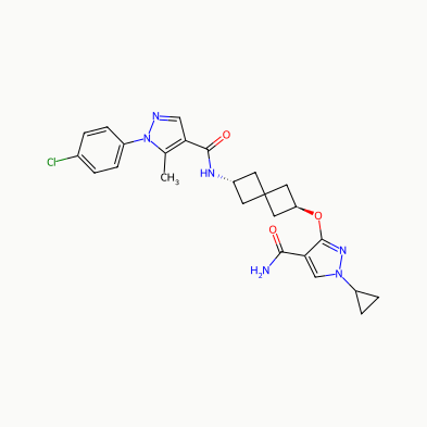 Cc1c(C(=O)N[C@H]2CC3(C2)C[C@H](Oc2nn(C4CC4)cc2C(N)=O)C3)cnn1-c1ccc(Cl)cc1